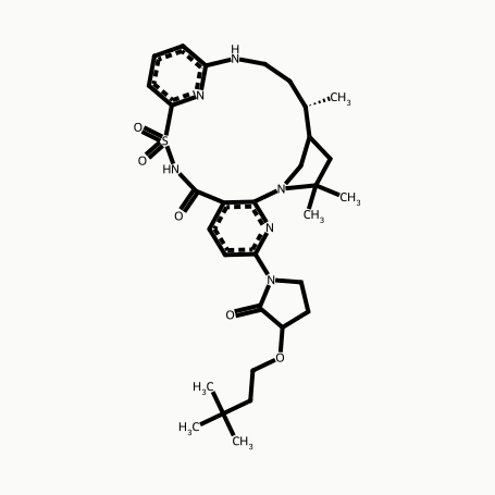 C[C@H]1CCNc2cccc(n2)S(=O)(=O)NC(=O)c2ccc(N3CCC(OCCC(C)(C)C)C3=O)nc2N2CC1CC2(C)C